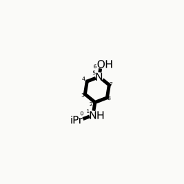 CC(C)NC1CCN(O)CC1